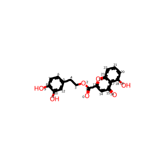 O=C(OCCc1ccc(O)c(O)c1)c1cc(=O)c2c(O)cccc2o1